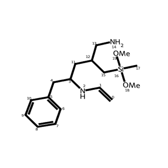 C=CNC(Cc1ccccc1)CC(CN)C[Si](C)(OC)OC